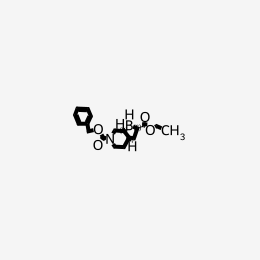 CCOC(=O)[C@H]1B[C@H]2CN(C(=O)OCc3ccccc3)CC[C@H]2C1